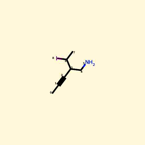 CC#CC(CN)C(C)I